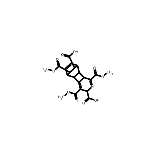 COC(=O)C1=NC(C(=O)O)C(C(=O)OC)=C2C1C1C3C=CC(C(C(=O)OC)C3C(=O)O)C21